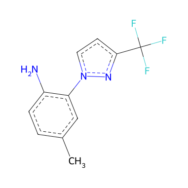 Cc1ccc(N)c(-n2ccc(C(F)(F)F)n2)c1